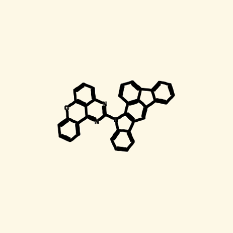 c1ccc2c(c1)Oc1cccc3nc(-n4c5ccccc5c5cc6c7c(cccc7c54)-c4ccccc4-6)nc-2c13